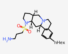 CCCCCCc1ccc2c(c1)CCN1C[C@H]3CCCN(S(=O)(=O)CCCN)[C@H]3C[C@@H]21